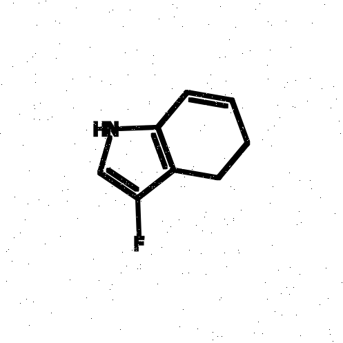 Fc1c[nH]c2c1CCC=C2